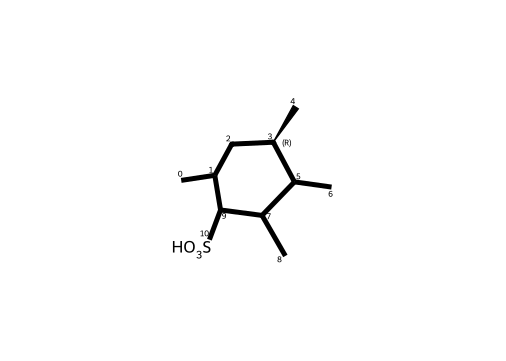 CC1C[C@@H](C)C(C)C(C)C1S(=O)(=O)O